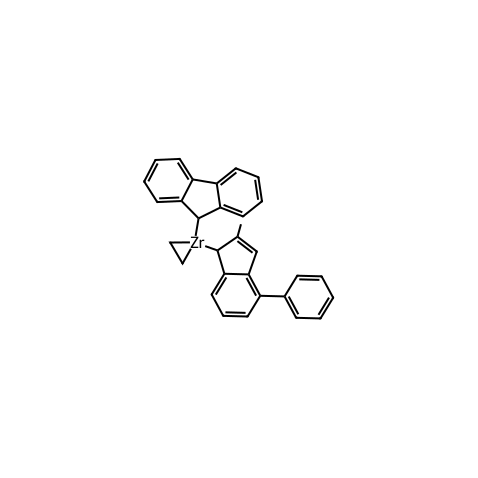 CC1=Cc2c(-c3ccccc3)cccc2[CH]1[Zr]1([CH]2c3ccccc3-c3ccccc32)[CH2][CH2]1